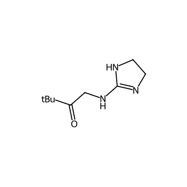 CC(C)(C)C(=O)CNC1=NCCN1